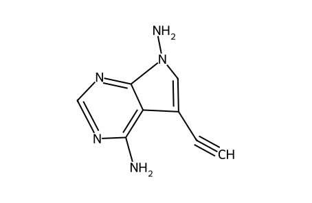 C#Cc1cn(N)c2ncnc(N)c12